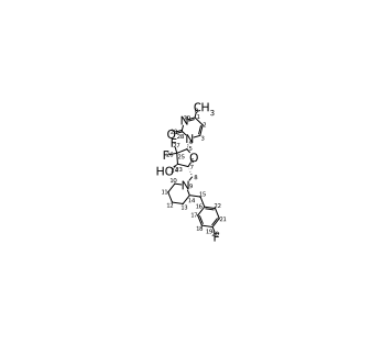 Cc1ccn([C@@H]2O[C@H](CN3CCCCC3Cc3ccc(F)cc3)[C@@H](O)C2(F)F)c(=O)n1